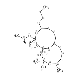 CCCCC1CCCC2CCCC(C)O[Si](C)(O)O[Si](C)(O2)O[Si](C)(O[SiH2]C)O1